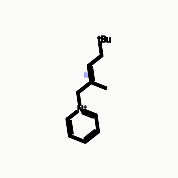 C/C(=C\CC(C)(C)C)C[n+]1ccccc1